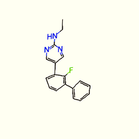 CCNc1ncc(-c2cccc(-c3ccccc3)c2F)cn1